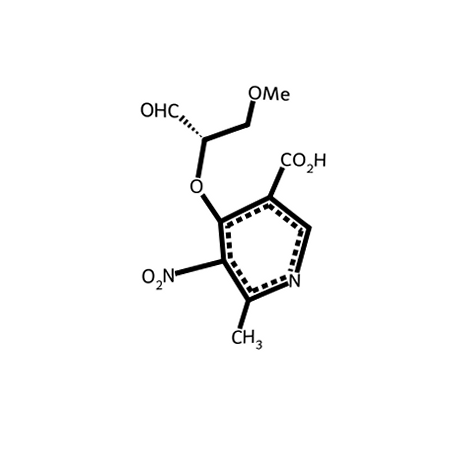 COC[C@@H](C=O)Oc1c(C(=O)O)cnc(C)c1[N+](=O)[O-]